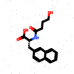 O=C(CCCO)N[C@H](Cc1ccc2ccccc2c1)C(=O)O